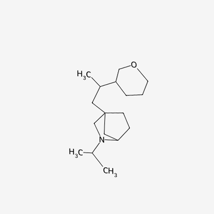 CC(CC12CCC(C1)N(C(C)C)C2)C1CCCOC1